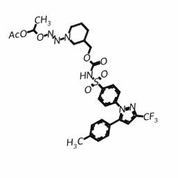 CC(=O)OC(C)ON=NN1CCCC(COC(=O)NS(=O)(=O)c2ccc(-n3nc(C(F)(F)F)cc3-c3ccc(C)cc3)cc2)C1